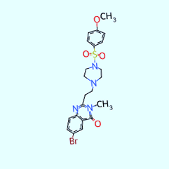 COc1ccc(S(=O)(=O)N2CCN(CCc3nc4ccc(Br)cc4c(=O)n3C)CC2)cc1